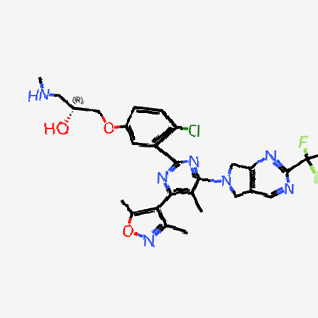 CNC[C@@H](O)COc1ccc(Cl)c(-c2nc(-c3c(C)noc3C)c(C)c(N3Cc4cnc(C(C)(F)F)nc4C3)n2)c1